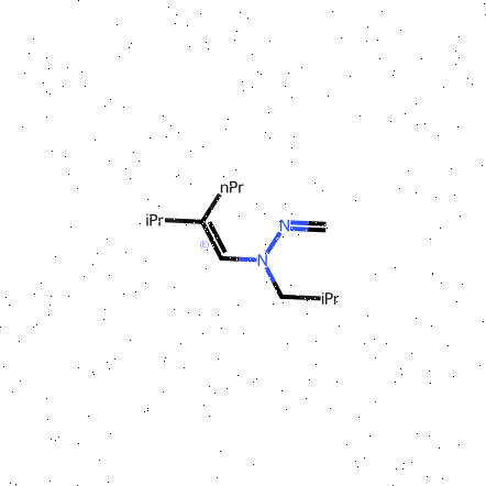 C=NN(/C=C(\CCC)C(C)C)CC(C)C